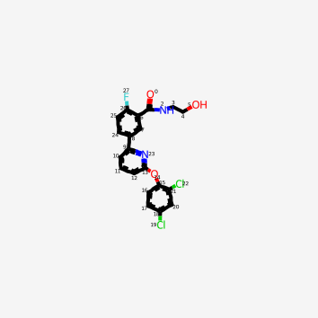 O=C(NCCO)c1cc(-c2cccc(Oc3ccc(Cl)cc3Cl)n2)ccc1F